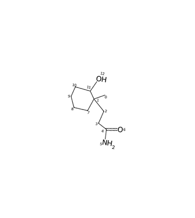 CC1(CCC(N)=O)CCCCC1O